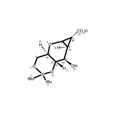 CC(C)(C)[Si]1(C(C)(C)C)OC[C@H]2OC3[C@H]([C@@H](O)[C@@H]2O1)[C@H]3C(=O)O